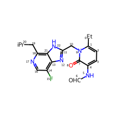 CCc1ccc(NC=O)c(=O)n1Cc1nc2c(F)cnc(CC(C)C)c2[nH]1